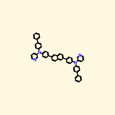 c1ccc(-c2ccc(N(c3ccc(-c4ccc5cc(-c6ccc(N(c7ccc(-c8ccccc8)cc7)c7cccnc7)cc6)ccc5c4)cc3)c3cccnc3)cc2)cc1